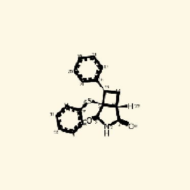 O=C1NC(=O)[C@@]2(Sc3ccccc3)[C@@H]1C[C@@H]2c1ccccc1